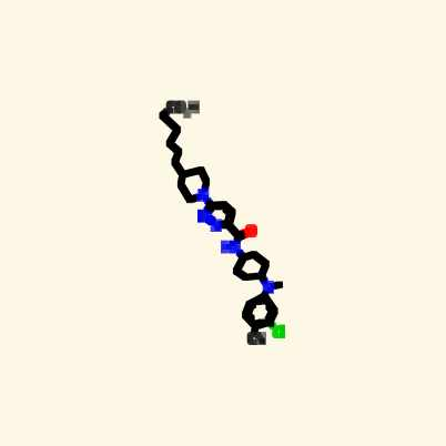 CN(c1ccc(C#N)c(Cl)c1)C1CCC(NC(=O)c2ccc(N3CCC(CCCCCC(=O)O)CC3)nn2)CC1